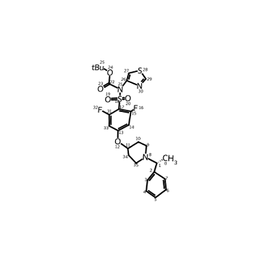 C[C@H](c1ccccc1)N1CCC(Oc2cc(F)c(S(=O)(=O)N(C(=O)OC(C)(C)C)c3cscn3)c(F)c2)CC1